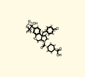 CC(O)(c1ccc2c(c1)OCC1N(C(=O)[C@H]3CC[C@H](C(=O)O)CC3)CCC21Cc1ccc(Cl)cc1)C(F)(F)F